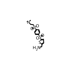 CN(C)CCS(=O)(=O)c1ccc(S(=O)(=O)c2ccc(CN)s2)cc1